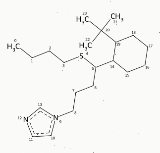 CCCCSC(CCCn1ccnc1)C1CCCCC1C(C)(C)C